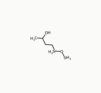 CC(O)CC[SiH2]O[SiH3]